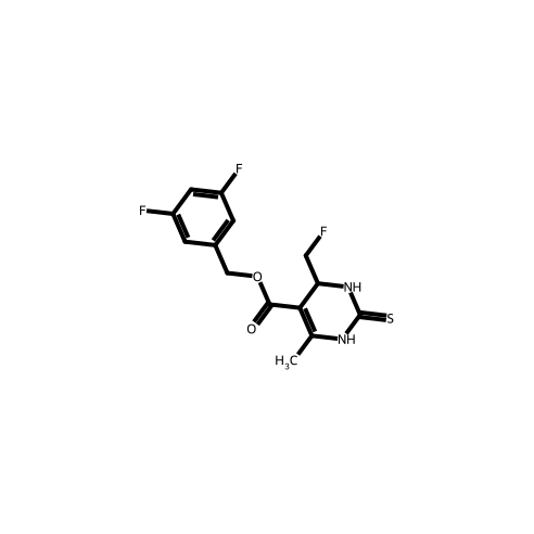 CC1=C(C(=O)OCc2cc(F)cc(F)c2)C(CF)NC(=S)N1